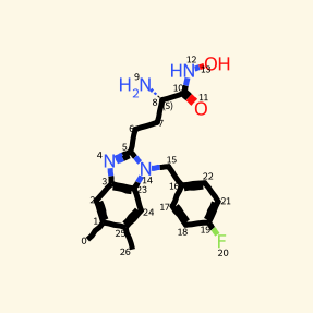 Cc1cc2nc(CC[C@H](N)C(=O)NO)n(Cc3ccc(F)cc3)c2cc1C